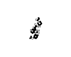 C=CC(=O)N1CCCC(NC(=O)c2sc3nccc4c3c2NC(=O)N4c2cc(OC(C)C)ccc2C)C1